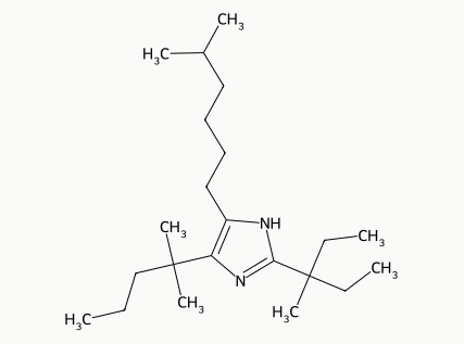 CCCC(C)(C)c1nc(C(C)(CC)CC)[nH]c1CCCCC(C)C